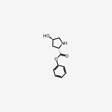 O=C(Oc1ccccc1)[C@@H]1C[C@@H](O)CN1